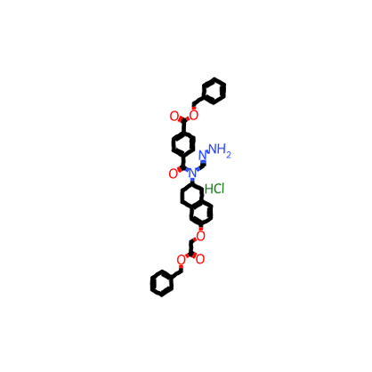 Cl.NN=CN(C(=O)c1ccc(C(=O)OCc2ccccc2)cc1)C1CCc2cc(OCC(=O)OCc3ccccc3)ccc2C1